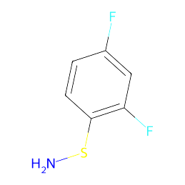 NSc1ccc(F)cc1F